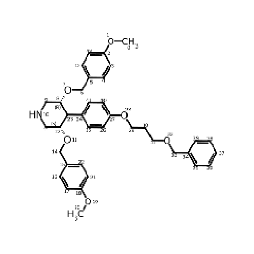 COc1ccc(CO[C@H]2CNC[C@@H](OCc3ccc(OC)cc3)C2c2ccc(OCCCOCc3ccccc3)cc2)cc1